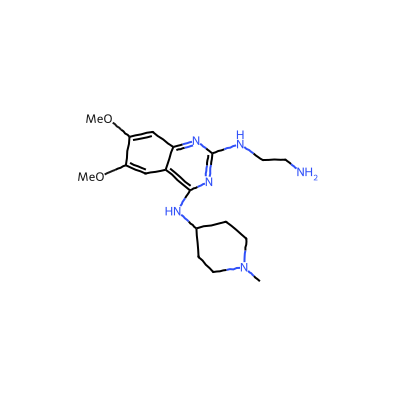 COc1cc2nc(NCCN)nc(NC3CCN(C)CC3)c2cc1OC